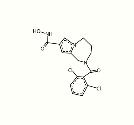 O=C(NO)c1cc2n(c1)CCCN(C(=O)c1c(Cl)cccc1Cl)C2